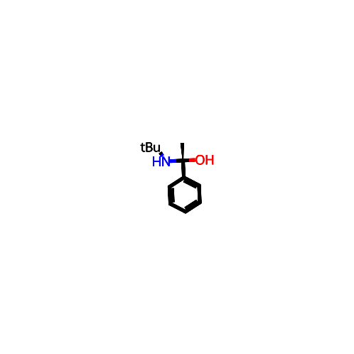 CC(C)(C)N[C@](C)(O)c1ccccc1